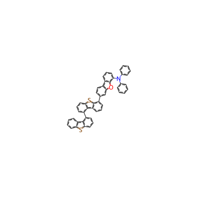 c1ccc(N(c2ccccc2)c2cccc3c2oc2cc(-c4cccc5c4sc4cccc(-c6cccc7sc8ccccc8c67)c45)ccc23)cc1